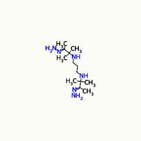 C/C(=N\N)C(C)(C)NCCCNC(C)(C)/C(C)=N/N